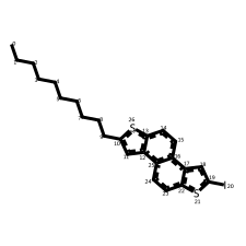 CCCCCCCCCCc1cc2c(ccc3c4cc(I)sc4ccc23)s1